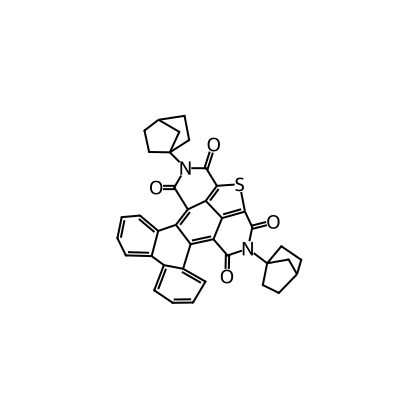 O=C1c2sc3c4c(c5c6ccccc6c6ccccc6c5c(c24)C(=O)N1C12CCC(CC1)C2)C(=O)N(C12CCC(CC1)C2)C3=O